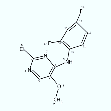 COc1cnc(Cl)nc1Nc1ccc(F)cc1F